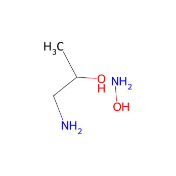 CC(O)CN.NO